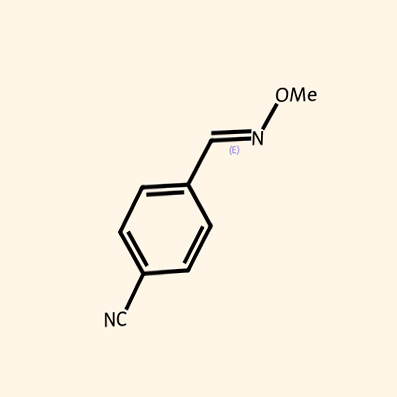 CO/N=C/c1ccc(C#N)cc1